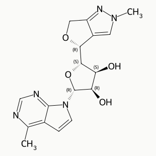 Cc1ncnc2c1ccn2[C@@H]1O[C@H]([C@@H]2OCc3nn(C)cc32)[C@@H](O)[C@H]1O